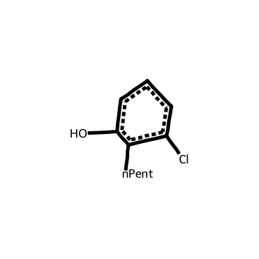 CCCCCc1c(O)cccc1Cl